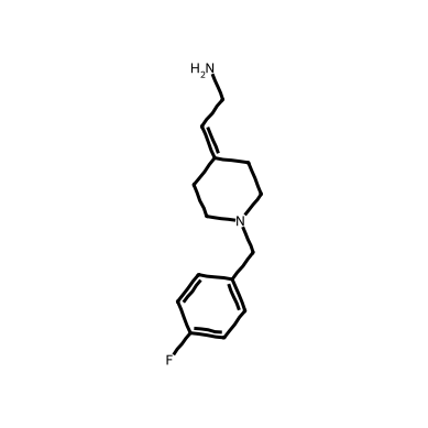 NCC=C1CCN(Cc2ccc(F)cc2)CC1